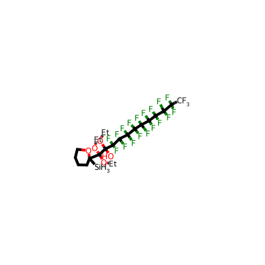 CCOC(O)(C(F)(F)C(F)(F)C(F)(F)C(F)(F)C(F)(F)C(F)(F)C(F)(F)C(F)(F)C(F)(F)C(F)(F)F)C(OCC)(OCC)C1([SiH3])CCCCO1